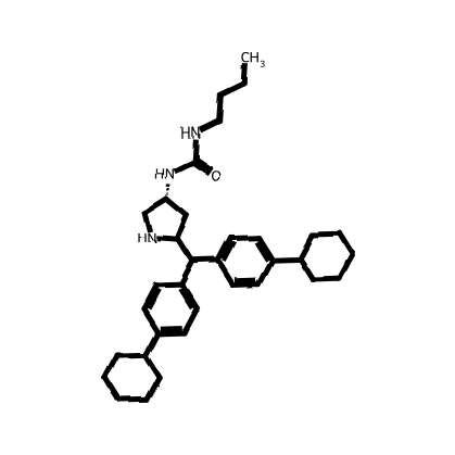 CCCCNC(=O)N[C@H]1CNC(C(c2ccc(C3CCCCC3)cc2)c2ccc(C3CCCCC3)cc2)C1